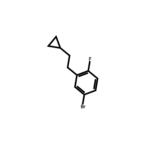 Fc1ccc(Br)cc1CCC1CC1